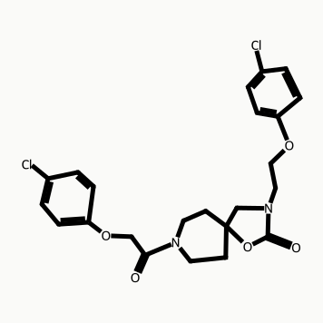 O=C(COc1ccc(Cl)cc1)N1CCC2(CC1)CN(CCOc1ccc(Cl)cc1)C(=O)O2